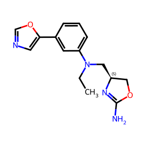 CCN(C[C@H]1COC(N)=N1)c1cccc(-c2cnco2)c1